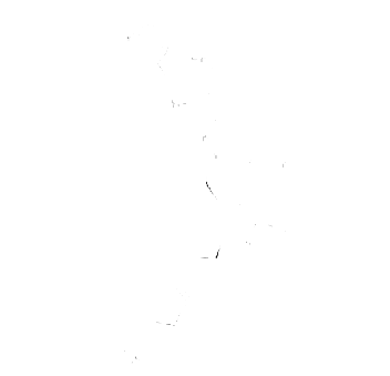 COC(=O)[C@H](CNC(=O)C[C@@H]1C[C@H](c2ccc(C=NN)cc2)N(C)C(=O)O1)NS(=O)(=O)c1c(C)noc1C.Cl